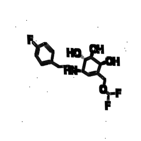 O[C@@H]1[C@@H](O)[C@@H](O)C(COC(F)F)=C[C@H]1NCCc1ccc(F)cc1